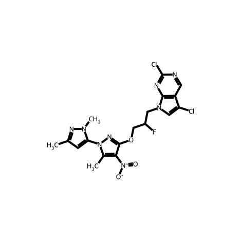 Cc1cc(-n2nc(OCC(F)Cn3cc(Cl)c4cnc(Cl)nc43)c([N+](=O)[O-])c2C)n(C)n1